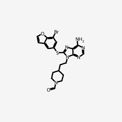 Nc1ncnc2c1nc(Sc1cc(Br)c3occc3c1)n2CCC1CCN(C=O)CC1